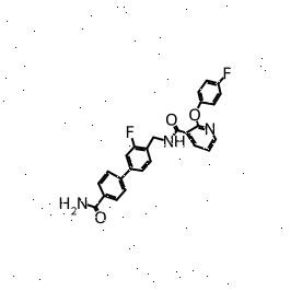 NC(=O)c1ccc(-c2ccc(CNC(=O)c3cccnc3Oc3ccc(F)cc3)c(F)c2)cc1